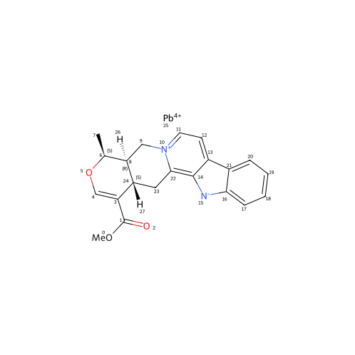 COC(=O)C1=CO[C@@H](C)[C@H]2C[n+]3ccc4c([n-]c5ccccc54)c3C[C@H]12.[Pb+4]